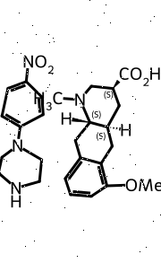 COc1cccc2c1C[C@@H]1C[C@H](C(=O)O)CN(C)[C@H]1C2.O=[N+]([O-])c1ccc(N2CCNCC2)cc1